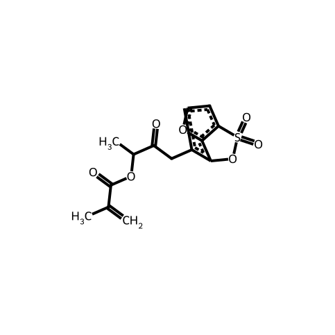 C=C(C)C(=O)OC(C)C(=O)Cc1c2c3oc1cc3S(=O)(=O)O2